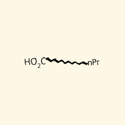 CCCC=CCCCCCCC=CC=CC(=O)O